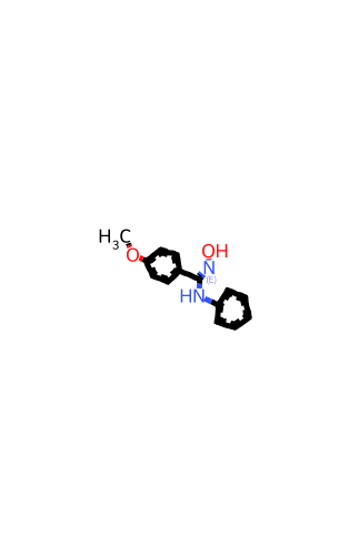 COc1ccc(/C(=N\O)Nc2ccccc2)cc1